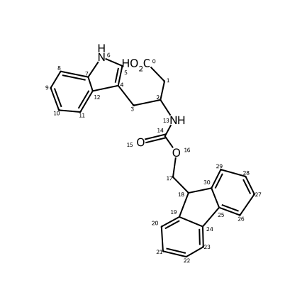 O=C(O)CC(Cc1c[nH]c2ccccc12)NC(=O)OCC1c2ccccc2-c2ccccc21